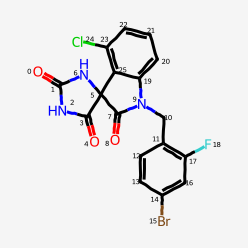 O=C1NC(=O)C2(N1)C(=O)N(Cc1ccc(Br)cc1F)c1cccc(Cl)c12